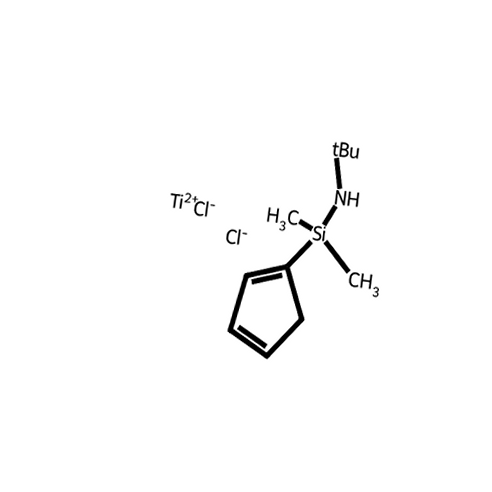 CC(C)(C)N[Si](C)(C)C1=CC=CC1.[Cl-].[Cl-].[Ti+2]